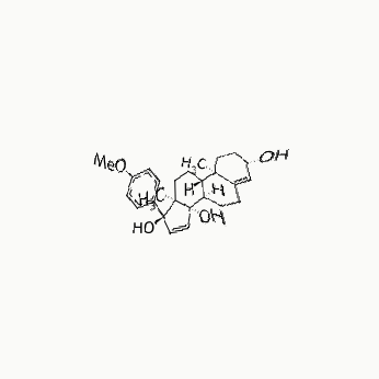 COc1ccc([C@@]2(O)C=C[C@]3(O)[C@@H]4CCC5=C[C@@H](O)CC[C@]5(C)[C@H]4CC[C@]23C)cc1